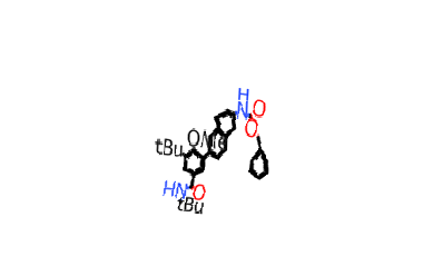 COc1c(-c2ccc3cc(NC(=O)OCc4ccccc4)ccc3c2)cc(C(=O)NC(C)(C)C)cc1C(C)(C)C